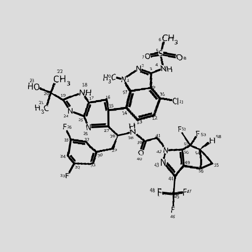 Cn1nc(NS(C)(=O)=O)c2c(Cl)ccc(-c3cc4[nH]c(C(C)(C)O)nc4nc3[C@H](Cc3cc(F)cc(F)c3)NC(=O)Cn3nc(C(F)(F)F)c4c3C(F)(F)[C@@H]3CC43)c21